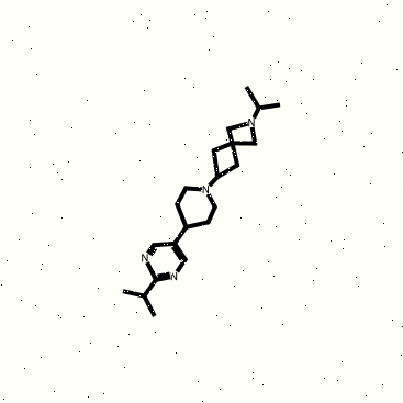 CC(C)c1ncc(C2CCN(C3CC4(C3)CN(C(C)C)C4)CC2)cn1